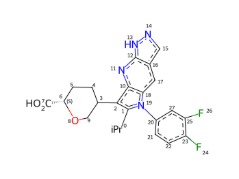 CC(C)c1c(C2CC[C@@H](C(=O)O)OC2)c2nc3[nH]ncc3cc2n1-c1ccc(F)c(F)c1